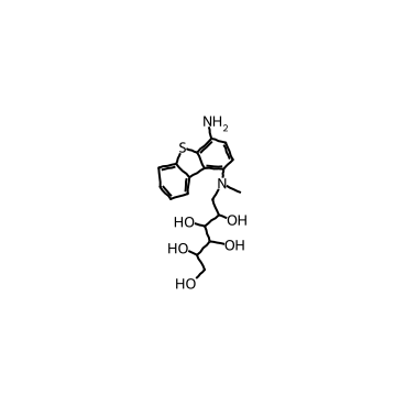 CN(CC(O)C(O)C(O)C(O)CO)c1ccc(N)c2sc3ccccc3c12